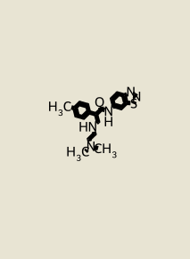 Cc1ccc(C(CNCCN(C)C)C(=O)Nc2ccc3nnsc3c2)cc1